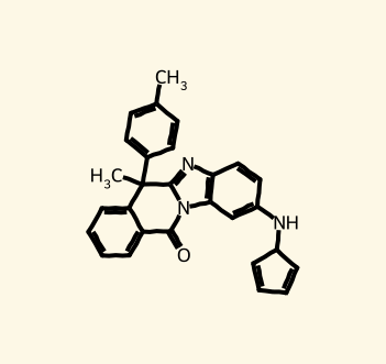 Cc1ccc(C2(C)c3ccccc3C(=O)n3c2nc2ccc(NC4C=CC=C4)cc23)cc1